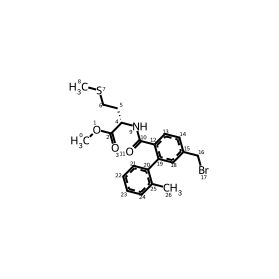 COC(=O)[C@H](CCSC)NC(=O)c1ccc(CBr)cc1-c1ccccc1C